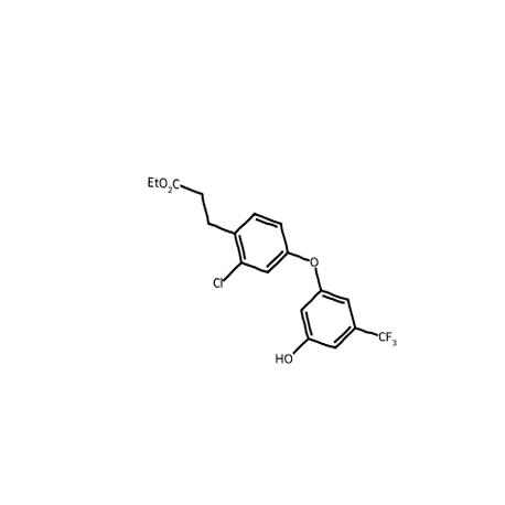 CCOC(=O)CCc1ccc(Oc2cc(O)cc(C(F)(F)F)c2)cc1Cl